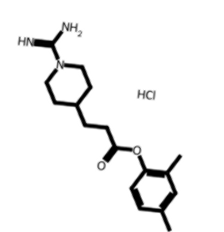 Cc1ccc(OC(=O)CCC2CCN(C(=N)N)CC2)c(C)c1.Cl